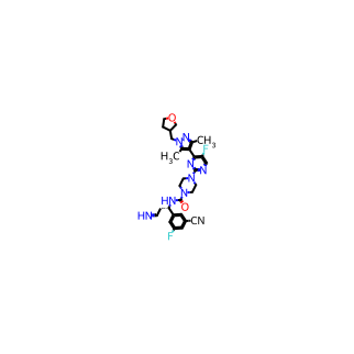 Cc1nn(CC2CCOC2)c(C)c1-c1nc(N2CCN(C(=O)N[C@@H](CC=N)c3cc(F)cc(C#N)c3)CC2)ncc1F